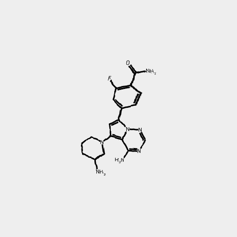 NC(=O)c1ccc(-c2cc(N3CCCC(N)C3)c3c(N)ncnn23)cc1F